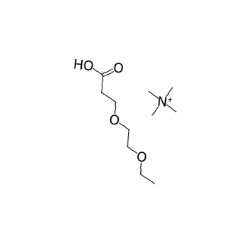 CCOCCOCCC(=O)O.C[N+](C)(C)C